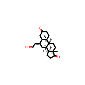 C[C@]12CCC(=O)CC1C(=CCO)C[C@@H]1[C@H]2CC[C@]2(C)C(=O)CC[C@@H]12